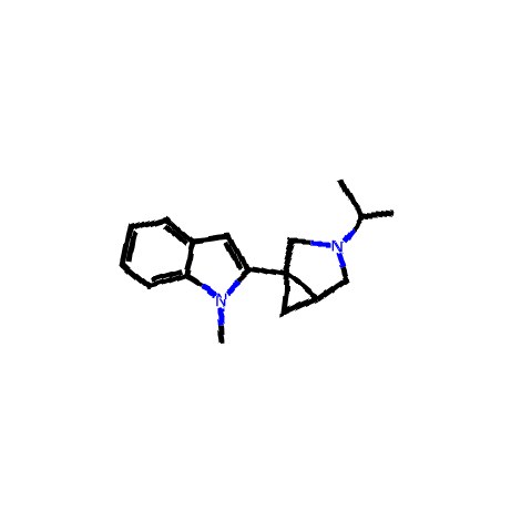 CC(C)N1CC2CC2(c2cc3ccccc3n2C)C1